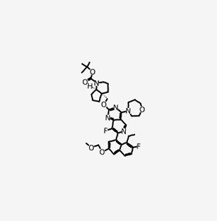 CCc1c(F)ccc2cc(OCOC)cc(-c3ncc4c(N5CCCOCC5)nc(OC[C@]56CCC[C@H]5N(C(=O)OC(C)(C)C)CCC6)nc4c3F)c12